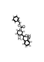 O=C(OCc1ccccc1)N1CCNC(C(O)Cc2ccccc2Br)C1